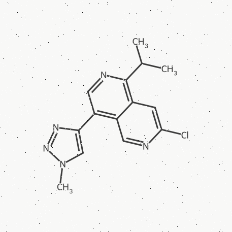 CC(C)c1ncc(-c2cn(C)nn2)c2cnc(Cl)cc12